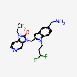 NCc1ccc2c(c1)cc(Cn1c(=O)n(CC(F)(F)F)c3ccncc31)n2CCC(F)F